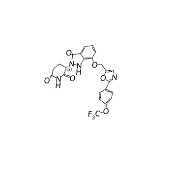 O=C1CC[C@H](n2[nH]c3c(OCc4cnc(-c5ccc(OC(F)(F)F)cc5)o4)cccc3c2=O)C(=O)N1